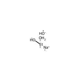 CCO.O.[Na+].[OH-]